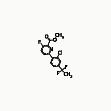 COC(=O)c1nc(-c2ccc(C(C)(F)F)cc2Cl)ccc1F